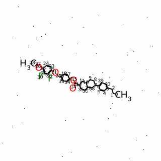 CCCc1ccc(C2CCC3CC(C(=O)Oc4ccc(COc5ccc(OCC)c(F)c5F)cc4)CCC3C2)cc1